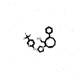 OCC1=C(N2CC[C@H](Oc3ccc(C(F)(F)F)cn3)C2)/C=C\CCC/C(c2ccccc2)=C\1